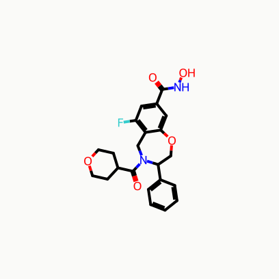 O=C(NO)c1cc(F)c2c(c1)OCC(c1ccccc1)N(C(=O)C1CCOCC1)C2